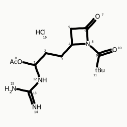 CC(=O)OC(CCC1CC(=O)N1C(=O)C(C)(C)C)NC(=N)N.Cl